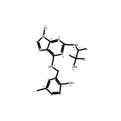 CCn1cnc2c(NCc3cc(I)ccc3O)nc(NC(C)C(C)(C)O)nc21